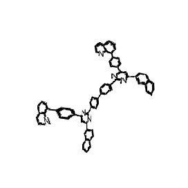 c1ccc2cc(-c3cc(-c4ccc(-c5cccc6cccnc56)cc4)nc(-c4ccc(-c5ccc(-c6nc(-c7ccc(-c8cccc9cccnc89)cc7)cc(-c7ccc8ccccc8c7)n6)cc5)cc4)n3)ccc2c1